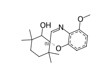 COc1cccc2c1N=C[C@]1(O2)C(O)C(C)(C)CCC1(C)C